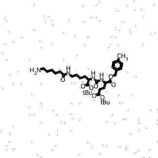 Cc1ccc(COC(=O)C(CCC(=O)OC(C)(C)C)NC(=O)NC(CCCCNC(=O)CCCCCN)C(=O)OC(C)(C)C)cc1